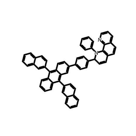 C1=CC(c2ccc(-c3ccc4c(-c5ccc6ccccc6c5)c5ccccc5c(-c5ccc6ccccc6c5)c4c3)cc2)N(c2ccccc2)c2c1ccc1cccnc21